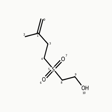 C=C(C)CCS(=O)(=O)CCO